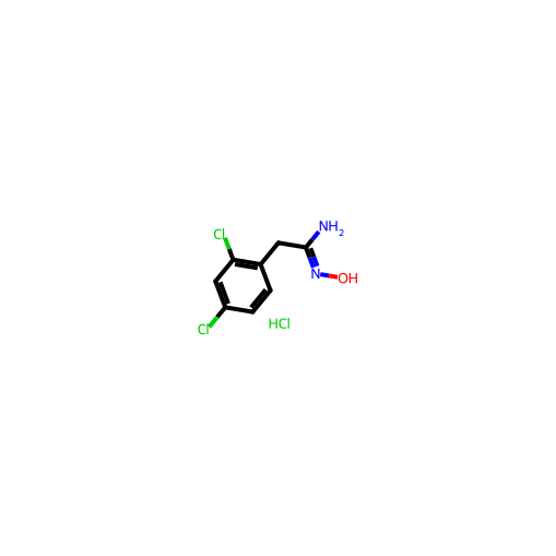 Cl.NC(Cc1ccc(Cl)cc1Cl)=NO